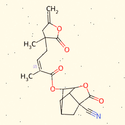 C=C1CC(C)(C/C=C(/C)C(=O)OC2C3CC4C2OC(=O)C4(C#N)C3)C(=O)O1